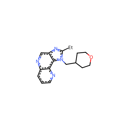 CCc1nc2cnc3cccnc3c2n1CC1CCOCC1